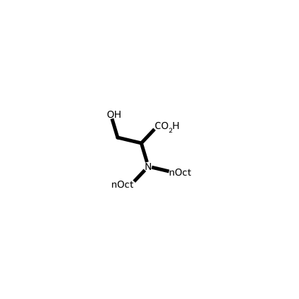 CCCCCCCCN(CCCCCCCC)C(CO)C(=O)O